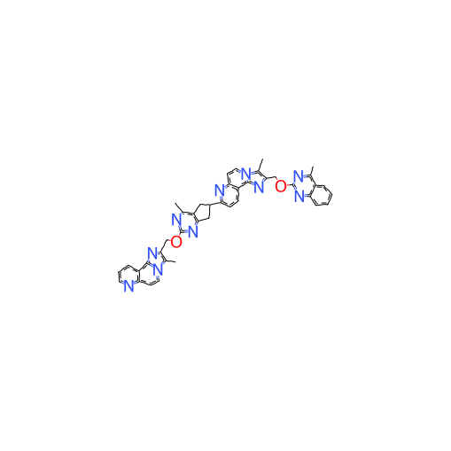 Cc1nc(OCc2nc3c4cccnc4ccn3c2C)nc2c1CC(c1ccc3c(ccn4c(C)c(COc5nc(C)c6ccccc6n5)nc34)n1)C2